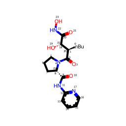 CCCC[C@@H](C(=O)N1CCC[C@H]1C(=O)Nc1ccccn1)[C@H](O)C(=O)NO